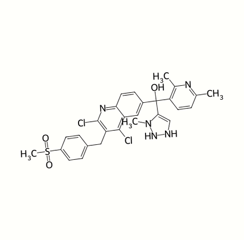 Cc1ccc(C(O)(C2=CNNN2C)c2ccc3nc(Cl)c(Cc4ccc(S(C)(=O)=O)cc4)c(Cl)c3c2)c(C)n1